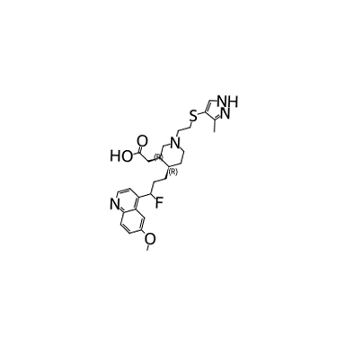 COc1ccc2nccc(C(F)CC[C@@H]3CCN(CCSc4c[nH]nc4C)C[C@@H]3CC(=O)O)c2c1